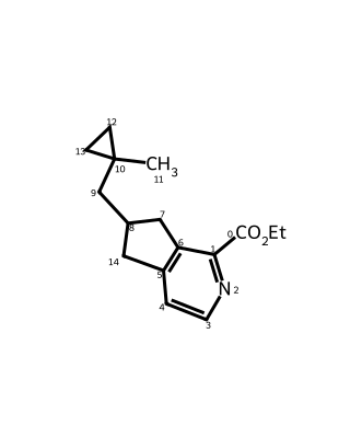 CCOC(=O)c1nccc2c1CC(CC1(C)CC1)C2